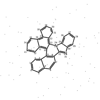 c1ccc2c(c1)ccc1c2c2c3ccccc3c3ccccc3c2n2c3ccccc3nc12